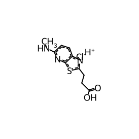 CNc1ccc2nc(CCC(=O)O)sc2n1.[Cl-].[H+]